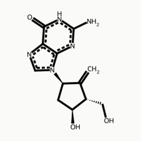 C=C1[C@H](n2cnc3c(=O)[nH]c(N)nc32)C[C@H](O)[C@H]1CO